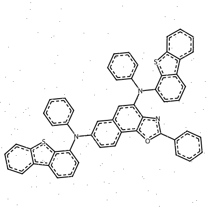 c1ccc(-c2nc3c(N(c4ccccc4)c4cccc5c4sc4ccccc45)cc4cc(N(c5ccccc5)c5cccc6c5sc5ccccc56)ccc4c3o2)cc1